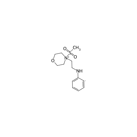 CS(=O)(=O)[N+]1(CCNc2[c]cccc2)CCOCC1